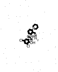 NCc1c(NS(=O)(=O)c2cc(Cl)cc(Cl)c2O)cccc1N1CCCCC1